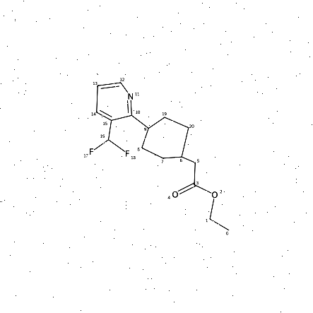 CCOC(=O)CC1CCC(c2ncccc2C(F)F)CC1